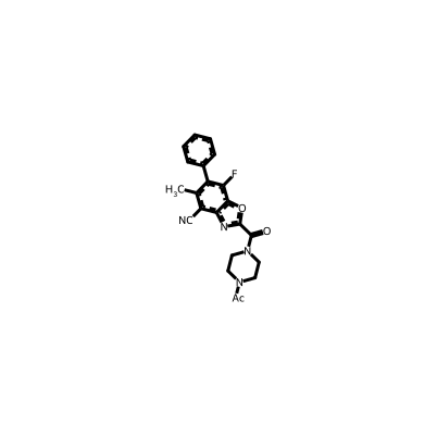 CC(=O)N1CCN(C(=O)c2nc3c(C#N)c(C)c(-c4ccccc4)c(F)c3o2)CC1